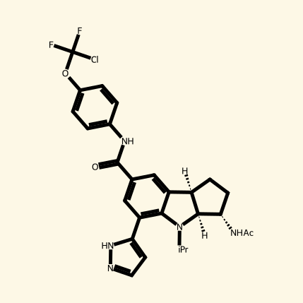 CC(=O)N[C@H]1CC[C@@H]2c3cc(C(=O)Nc4ccc(OC(F)(F)Cl)cc4)cc(-c4ccn[nH]4)c3N(C(C)C)[C@H]12